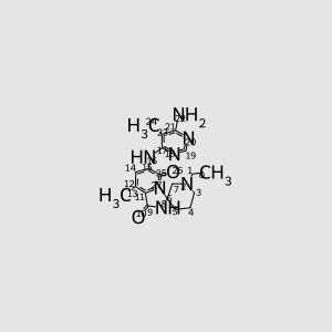 CCN1CCCC2(C1)NC(=O)c1c(C)cc(Nc3ncnc(N)c3C)c(=O)n12